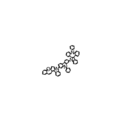 C1=Cc2c(ccc3c2c2ccccc2n3-c2ccc3c4ccc(-n5c6c(c7ccccc75)-c5ccccc5N(c5ccccc5)c5ccccc5-6)cc4n(-c4ccccc4)c3c2)Oc2ccccc21